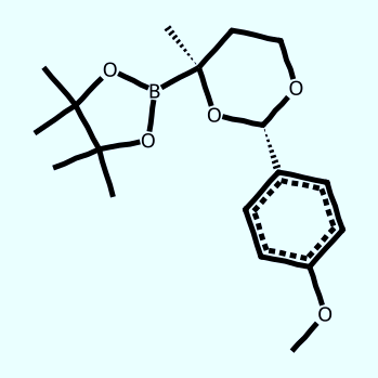 COc1ccc([C@H]2OCC[C@](C)(B3OC(C)(C)C(C)(C)O3)O2)cc1